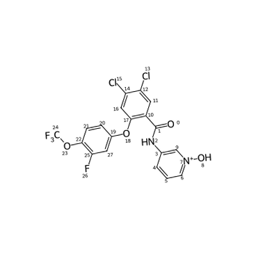 O=C(Nc1ccc[n+](O)c1)c1cc(Cl)c(Cl)cc1Oc1ccc(OC(F)(F)F)c(F)c1